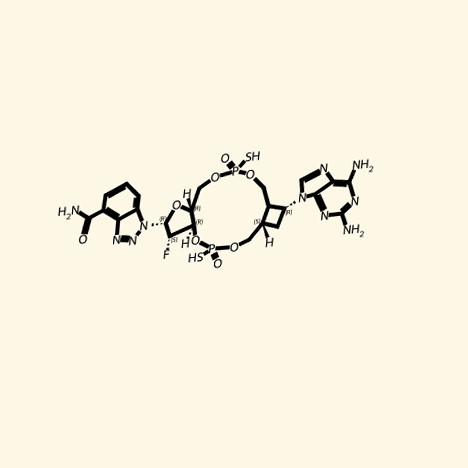 NC(=O)c1cccc2c1nnn2[C@@H]1O[C@@H]2COP(=O)(S)OCC3[C@@H](COP(=O)(S)O[C@H]2[C@@H]1F)C[C@H]3n1cnc2c(N)nc(N)nc21